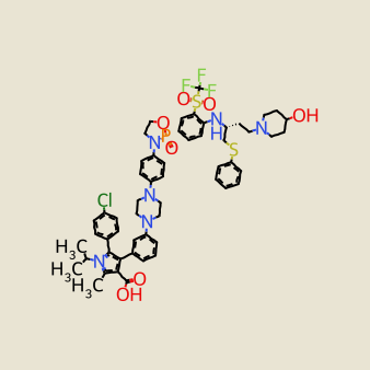 Cc1c(C(=O)O)c(-c2cccc(N3CCN(c4ccc(N5CCO[P@@]5(=O)c5ccc(N[C@H](CCN6CCC(O)CC6)CSc6ccccc6)c(S(=O)(=O)C(F)(F)F)c5)cc4)CC3)c2)c(-c2ccc(Cl)cc2)n1C(C)C